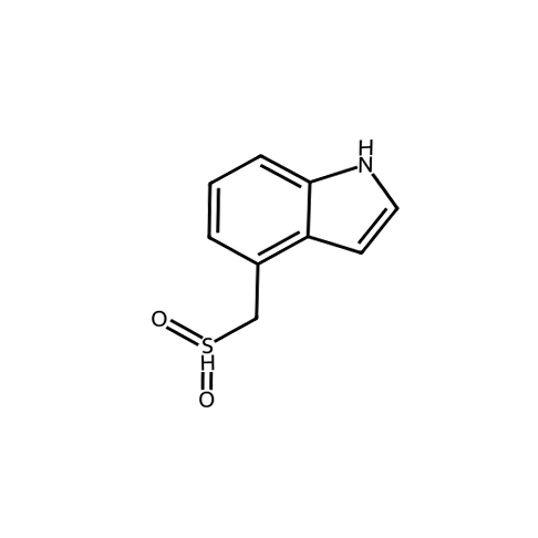 O=[SH](=O)Cc1cccc2[nH]ccc12